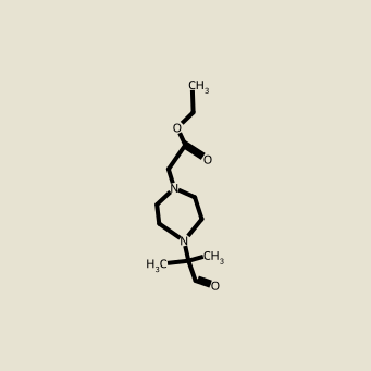 CCOC(=O)CN1CCN(C(C)(C)C=O)CC1